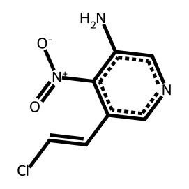 Nc1cncc(C=CCl)c1[N+](=O)[O-]